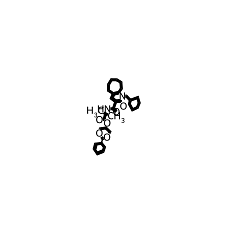 CC(C)(NC(=O)c1cc2c(n(CC3CCCCC3)c1=O)CCCCCC2)C(=O)O[C@H]1CO[C@H](C2C=CC=CC2)OC1